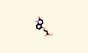 O=C(O)CCOc1cccc2c1CCC(=O)N2